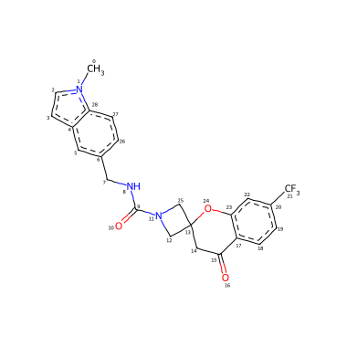 Cn1ccc2cc(CNC(=O)N3CC4(CC(=O)c5ccc(C(F)(F)F)cc5O4)C3)ccc21